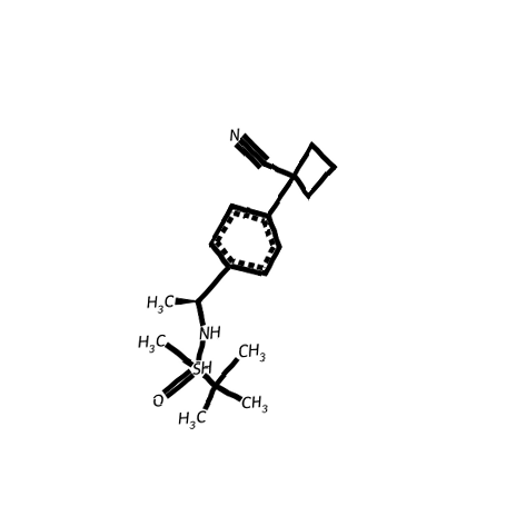 C[C@H](N[SH](C)(=O)C(C)(C)C)c1ccc(C2(C#N)CCC2)cc1